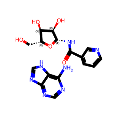 Nc1ncnc2nc[nH]c12.O=C(N[C@@H]1O[C@H](CO)[C@@H](O)[C@H]1O)c1cccnc1